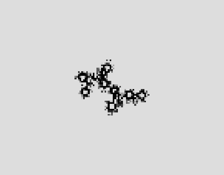 c1ccc(-c2nc(-n3c4ccc(-c5ccc6c(c5)n5c7ccccc7nc5n6-c5ccc6c(c5)oc5ccccc56)cc4n4c5ccccc5nc34)nc3ccccc23)cc1